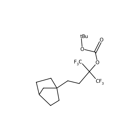 CC(C)(C)OC(=O)OC(CCC12CCC(CC1)C2)(C(F)(F)F)C(F)(F)F